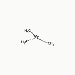 CCCCCCCCCCCC[n+]1ccn(CCCCCCC)c1CCCCCCCCC